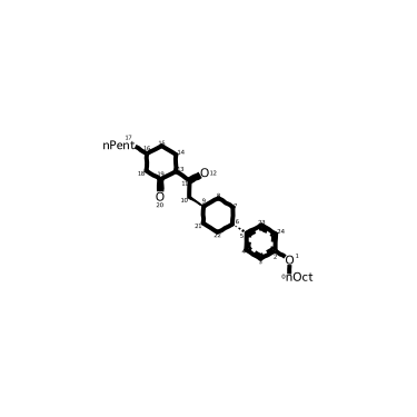 CCCCCCCCOc1ccc([C@H]2CC[C@H](CC(=O)C3CCC(CCCCC)CC3=O)CC2)cc1